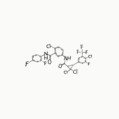 O=C(Nc1ccc(F)cc1F)c1cc(NC(=O)C2C(c3cc(F)c(Cl)c(C(F)(F)F)c3)C2(Cl)Cl)ccc1Cl